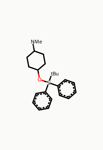 CNC1CCC(O[Si](c2ccccc2)(c2ccccc2)C(C)(C)C)CC1